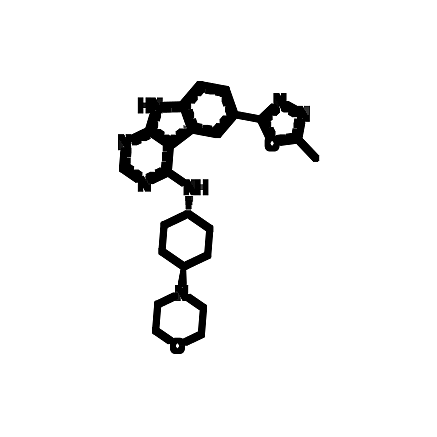 Cc1nnc(-c2ccc3[nH]c4ncnc(N[C@H]5CC[C@H](N6CCOCC6)CC5)c4c3c2)o1